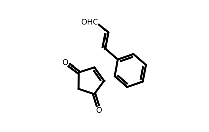 O=C1C=CC(=O)C1.O=CC=Cc1ccccc1